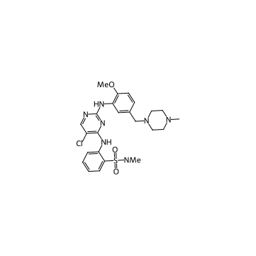 CNS(=O)(=O)c1ccccc1Nc1nc(Nc2cc(CN3CCN(C)CC3)ccc2OC)ncc1Cl